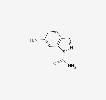 NC(=O)[SH]1N=Nc2ccc(N)cc21